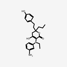 CCCC1(CCc2ccc(O)cc2)CC(O)=C(N(CC)c2cccc(N)c2)C(=O)O1